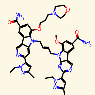 CCn1nc(C)cc1-c1cc2c(cn1)c1cc(C(N)=O)cc(OCCCN3CCOCC3)c1n2C/C=C/Cn1c2nc(-c3cc(C)nn3CC)ncc2c2cc(C(N)=O)cc(OC)c21